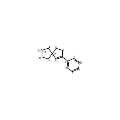 C1=C(c2cccnc2)CCC12CCNC2